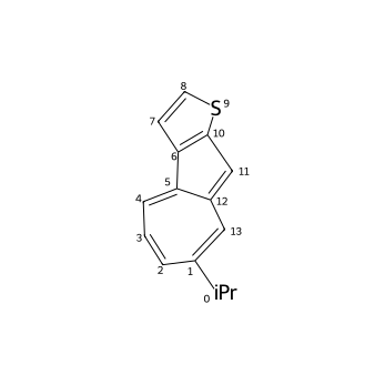 CC(C)c1cccc2c3ccsc3cc-2c1